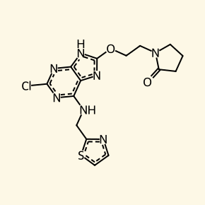 O=C1CCCN1CCOc1nc2c(NCc3nccs3)nc(Cl)nc2[nH]1